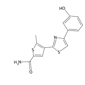 Cc1sc(C(N)=O)cc1-c1nc(-c2cccc(O)c2)cs1